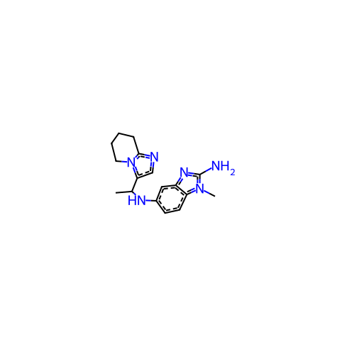 CC(Nc1ccc2c(c1)nc(N)n2C)c1cnc2n1CCCC2